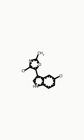 Cc1nc(Cl)c(-c2c[nH]c3ccc(Cl)cc23)o1